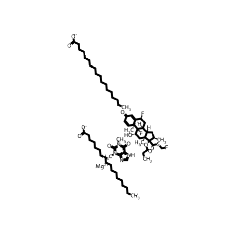 CCC(=O)O[C@]1(C(=O)SCF)[C@H](C)C[C@H]2[C@@H]3C[C@H](F)C4=CC(=O)C=C[C@]4(C)[C@@]3(F)[C@@H](O)C[C@@]21C.CCCCCCCCCCCCCCCCCC(=O)[O-].CCCCCCCCCCCCCCCCCC(=O)[O-].Cn1c(=O)c2[nH]cnc2n(C)c1=O.[Mg+2]